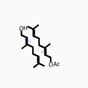 CC(=O)OC/C=C(\C)CCC=C(C)C.CC(C)=CCC/C(C)=C/CO